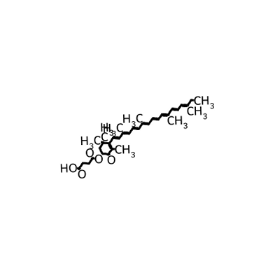 CC/C(C)=C/C=C/C(C)=C/C=C/C=C(C)/C=C/C=C(C)/C=C/C1=C(C)C(=O)C(OC(=O)CCC(=O)O)CC1(C)C